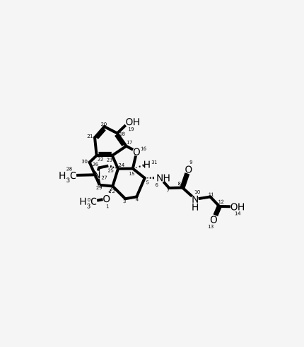 CO[C@@]12CC[C@@H](NCC(=O)NCC(=O)O)[C@@H]3Oc4c(O)ccc5c4[C@@]31CCN(C)C2C5